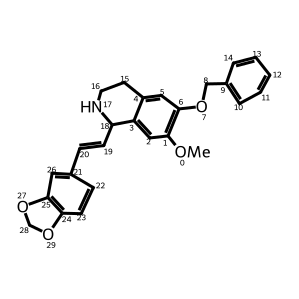 COc1cc2c(cc1OCc1ccccc1)CCNC2/C=C/c1ccc2c(c1)OCO2